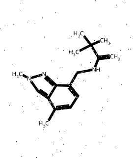 C=C(NCc1ccc(C)c2cn(C)nc12)C(C)(C)C